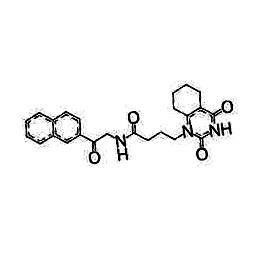 O=C(CCCn1c2c(c(=O)[nH]c1=O)CCCC2)NCC(=O)c1ccc2ccccc2c1